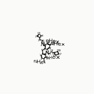 CCCCCCc1ccc(Cc2ccc(CCCCCC)c(CCCCCC)c2N=CCC2CCC2)c(N=CCC2CCC2)c1CCCCCC